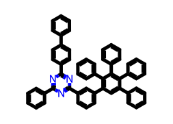 c1ccc(-c2ccc(-c3nc(-c4ccccc4)nc(-c4cccc(-c5cc(-c6ccccc6)c(-c6ccccc6)c(-c6ccccc6)c5-c5ccccc5)c4)n3)cc2)cc1